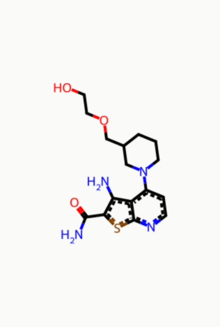 NC(=O)c1sc2nccc(N3CCCC(COCCO)C3)c2c1N